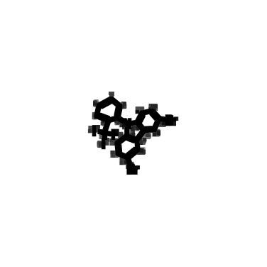 FC(F)(F)c1ccccc1-n1c2ccc(Br)cc2c2cc(Br)ccc21